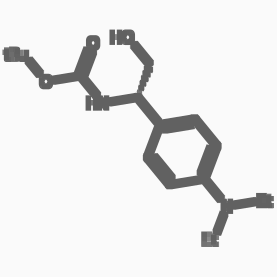 CCN(CC)c1ccc([C@@H](CO)NC(=O)OC(C)(C)C)cc1